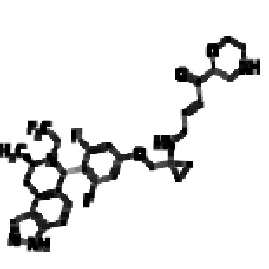 C[C@@H]1Cc2c(ccc3[nH]ncc23)[C@@H](c2c(F)cc(OCC3(NC/C=C/C(=O)C4CNCCO4)CC3)cc2F)N1CC(F)(F)F